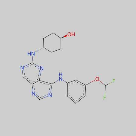 O[C@H]1CC[C@H](Nc2ncc3ncnc(Nc4cccc(OC(F)F)c4)c3n2)CC1